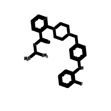 CC(C)OC(=O)c1cccnc1N1CCN(Cc2ccc(Nc3ccccc3F)cc2)CC1